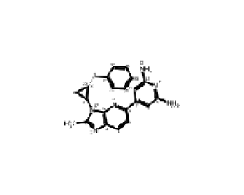 Cc1nc2ccc(-c3cc(N)nc(N)c3)nc2n1C1C[C@@H]1Cc1ccccc1